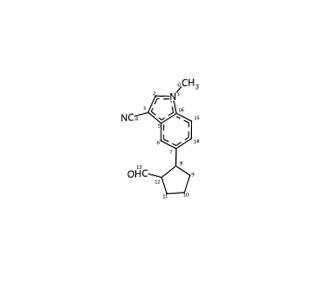 Cn1cc(C#N)c2cc(C3CCCC3C=O)ccc21